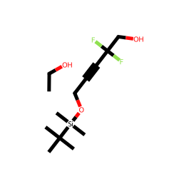 CC(C)(C)[Si](C)(C)OCC#CC(F)(F)CO.CCO